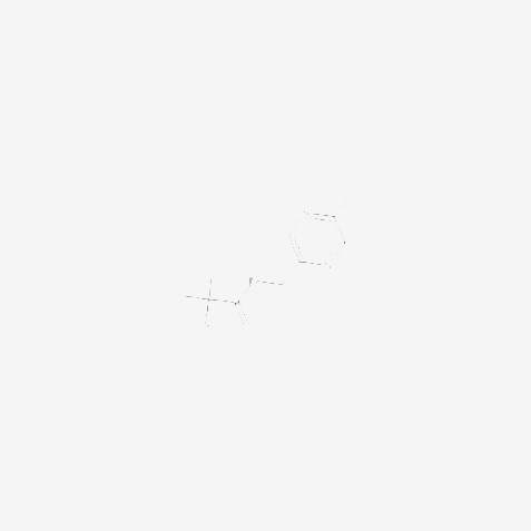 Cc1cnc(CNC(=O)C(F)(P)P)cn1